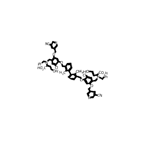 Cc1c(COc2cc(OCc3cncc(C#N)c3)c(CN(CC(C)C)C(CCO)C(=O)O)cc2Cl)cccc1-c1cccc(COc2cc(OCc3cncc(C#N)c3)c(CN(CC(C)C)C(CCO)C(=O)O)cc2Cl)c1C